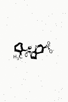 Cc1ccccc1S(=O)(=O)n1ccc2cc([N+](=O)[O-])cnc21